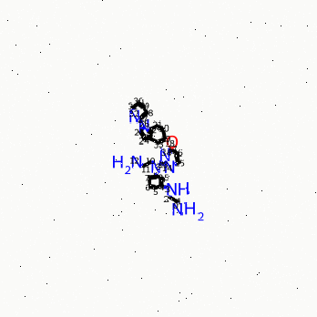 NCCNc1cccc(N(CCN)c2nccc(Oc3ccc4c(ccn4-c4ccccn4)c3)n2)c1